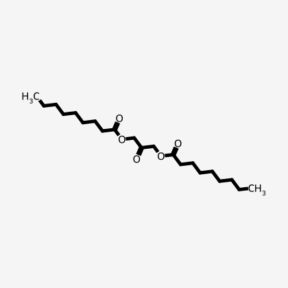 CCCCCCCCC(=O)OCC(=O)COC(=O)CCCCCCCC